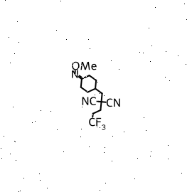 CON=C1CCC(CC(C#N)(C#N)CCC(F)(F)F)CC1